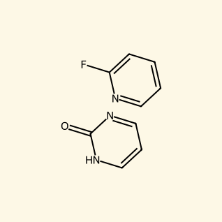 Fc1ccccn1.O=c1nccc[nH]1